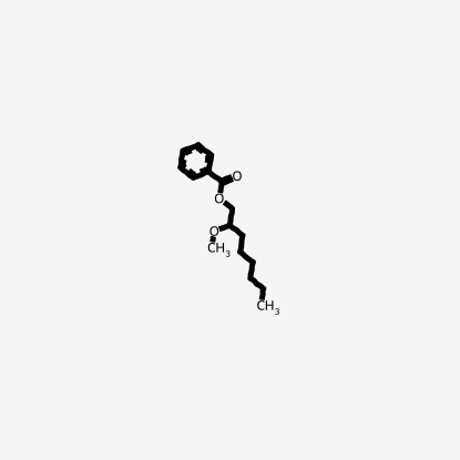 CCCCCCC(COC(=O)c1ccccc1)OC